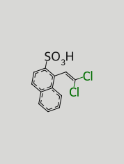 O=S(=O)(O)c1ccc2ccccc2c1C=C(Cl)Cl